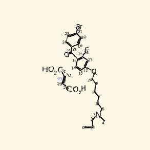 C=CCN(C)CCCCCCOc1ccc(C(=O)c2ccc(Br)cc2)c(F)c1.O=C(O)/C=C/C(=O)O